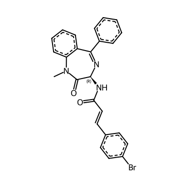 CN1C(=O)[C@H](NC(=O)C=Cc2ccc(Br)cc2)N=C(c2ccccc2)c2ccccc21